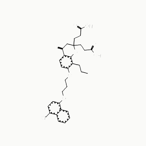 CCCc1c(OCCCOc2ccc(Cl)c3ccccc23)ccc2c1OC(CCC(=O)O)(CCC(=O)O)CC2=O